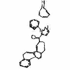 C1=CC=CNC=C1.O=C(c1ccnn1-c1ccccc1)C1C=c2c(ccc3c2=CCc2ccccc2-3)CC1